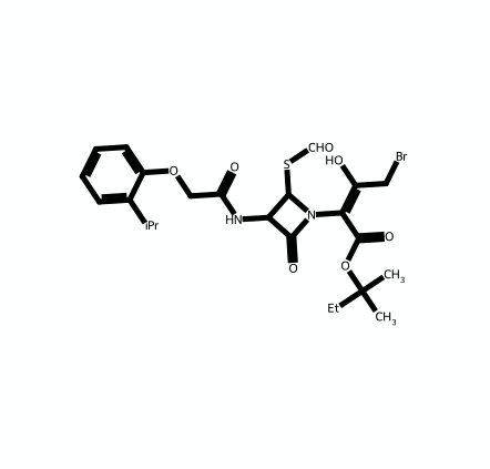 CCC(C)(C)OC(=O)C(=C(O)CBr)N1C(=O)C(NC(=O)COc2ccccc2C(C)C)C1SC=O